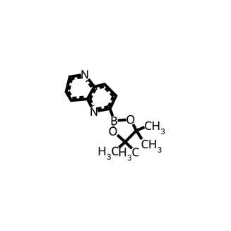 CC1(C)OB(c2ccc3ncccc3n2)OC1(C)C